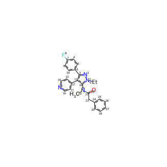 CCn1nc(-c2ccc(F)cc2)c(-c2ccncc2)c1N(C)C(=O)Cc1ccccc1